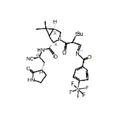 CC(C)(C)C(/C=N/C(=O)c1ccc(S(F)(F)(F)(F)F)cc1)C(=O)N1C[C@H]2C([C@H]1C(=O)N[C@H](C#N)C[C@@H]1CCNC1=O)C2(C)C